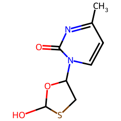 Cc1ccn(C2CSC(O)O2)c(=O)n1